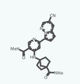 CNC(=O)c1cnc(-c2ccc3cc(C#N)cnn23)cc1NC12CCC(C(=O)NC)(CC1)C2